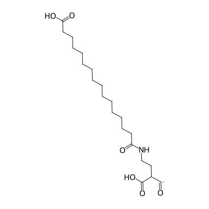 O=[C]C(CCNC(=O)CCCCCCCCCCCCCCC(=O)O)C(=O)O